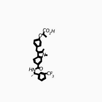 Cc1c(Cc2ccc(OC(C)C(=O)O)cc2)c2ccc(C(=O)N[C@@H](C)c3cccc(C(F)(F)F)c3)cc2n1C